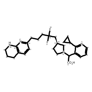 O=C(O)C(c1cccnc1C1CC1)N1CC[C@@H](CC(F)(F)CCCc2ccc3c(n2)NCCC3)C1